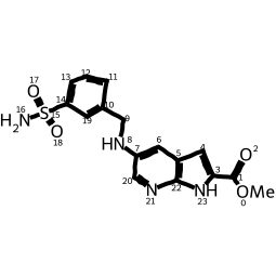 COC(=O)c1cc2cc(NCc3cccc(S(N)(=O)=O)c3)cnc2[nH]1